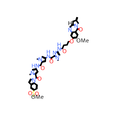 C=C1C[C@H]2C=Nc3cc(OCCCC(=O)Nc4cn(C)c(C(=O)Nc5cc(C(=O)Nc6cc(C(=O)n7ccc8cc(S(=O)(=O)OC)ccc87)n(C)c6)n(C)c5)n4)c(OC)cc3C(=O)N2C1